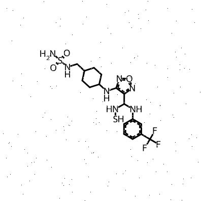 NS(=O)(=O)NCC1CCC(Nc2nonc2C(NS)Nc2cccc(C(F)(F)F)c2)CC1